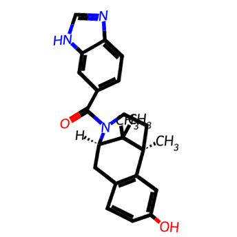 CC1(C)[C@H]2Cc3ccc(O)cc3[C@]1(C)CCN2C(=O)c1ccc2nc[nH]c2c1